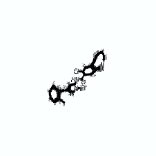 Cc1ccccc1-c1cc(NC(=O)c2cc3ncccc3cc2Cl)n(C(C)C)n1